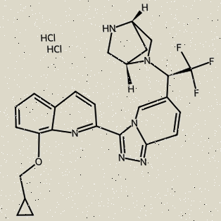 Cl.Cl.FC(F)(F)[C@@H](c1ccc2nnc(-c3ccc4cccc(OCC5CC5)c4n3)n2c1)N1C[C@@H]2C[C@H]1CN2